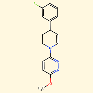 COc1ccc(N2C=CC(c3cccc(F)c3)CC2)nn1